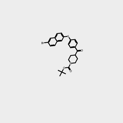 CC(C)(C)OC(=O)N1CCC(C(=O)c2ccc(Sc3ccc4cc(Br)ccc4c3)cc2)CC1